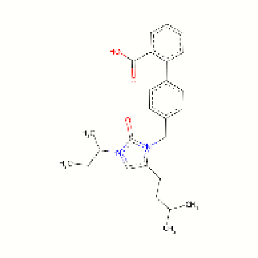 CCC(C)n1cc(CCC(C)C)n(Cc2ccc(-c3ccccc3C(=O)O)cc2)c1=O